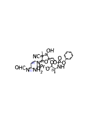 CC(C)OC(=O)[C@H](C)NP(=O)(OC[C@H]1O[C@@H](N/C=C\C(N)=N/C=O)[C@](C)(C#N)[C@@H]1O)Oc1ccccc1